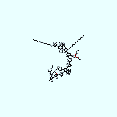 CCCCCCCCCCCCc1cc(-c2cc(Cl)c(-c3cc(CCCCCCCCCCCC)c(-c4cc5c(s4)-c4sc(-c6ccc(-c7cc(Cl)c(-c8ccc(-c9cc%10c(s9)-c9sc(C)cc9[Si]%10(CC(CC)CCCC)CC(CC)CCCC)s8)c8nsnc78)s6)cc4[Si]5(CC(CC)CCCC)CC(CC)CCCC)s3)c3nsnc23)sc1C